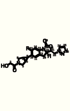 O=C(CO)N1CC2C(C1)C2c1cc2c(cc1F)N1C(=O)O[C@@H](Cn3ccnn3)[C@@H]1C2